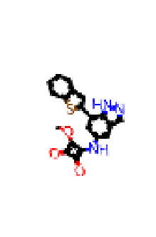 COc1c(Nc2cc(-c3cc4ccccc4s3)c3[nH]ncc3c2)c(=O)c1=O